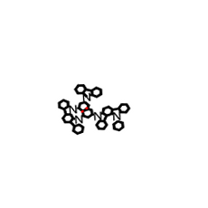 c1ccc(-n2c3ccccc3c3ccc4c(c5ccccc5n4-c4cccc(-n5c6ccccc6c6ccc7c8ccccc8n(-c8cccc(-n9c%10ccccc%10c%10ccccc%109)c8)c7c65)c4)c32)cc1